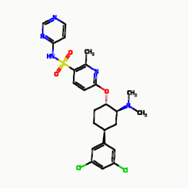 Cc1nc(O[C@H]2CC[C@H](c3cc(Cl)cc(Cl)c3)C[C@@H]2N(C)C)ccc1S(=O)(=O)Nc1ccncn1